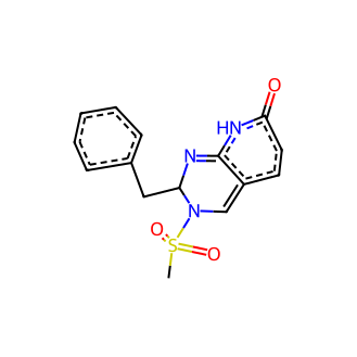 CS(=O)(=O)N1C=c2ccc(=O)[nH]c2=NC1Cc1ccccc1